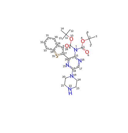 CC(C)(C)OC(=O)N(C(=O)OC(C)(C)C)c1ncc(N2CCNCC2)nc1-c1cc2ccccc2s1